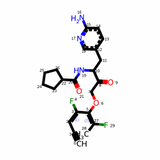 C#C/C=C(F)\C(OCC(=O)C(Cc1ccc(N)nc1)NC(=O)C1CCCC1)=C(/C)F